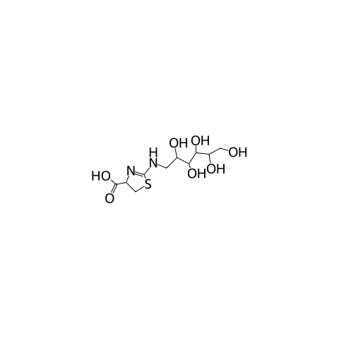 O=C(O)C1CSC(NCC(O)C(O)C(O)C(O)CO)=N1